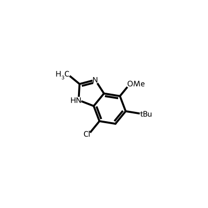 COc1c(C(C)(C)C)cc(Cl)c2[nH]c(C)nc12